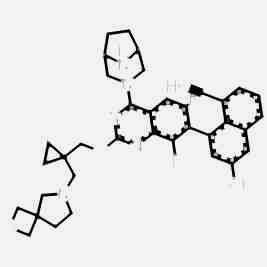 C#Cc1cccc2cc(O)cc(-c3c(F)cc4c(N5CC6CCC(C5)N6)nc(OCC5(CN6CCC7(COC7)C6)CC5)nc4c3F)c12